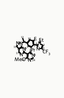 CCn1cc(C(F)(F)F)nc1-c1ccc(C(C)n2ncc3cnc(-c4c(OC)ncnc4C(C)C)nc32)cc1F